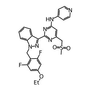 CCOc1cc(F)c(Cn2nc(-c3nc(CS(C)(=O)=O)cc(Nc4ccncc4)n3)c3ccccc32)c(F)c1